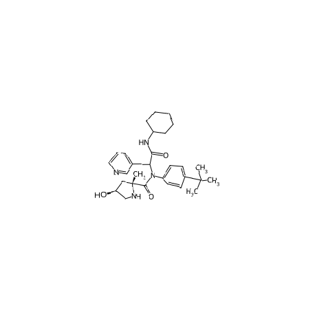 CC(C)(C)c1ccc(N(C(=O)[C@@]2(C)C[C@H](O)CN2)C(C(=O)NC2CCCCC2)c2cccnc2)cc1